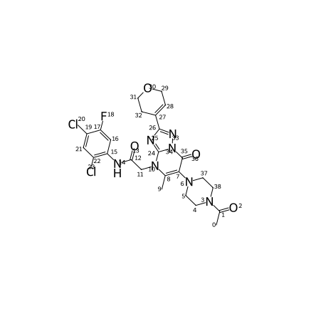 CC(=O)N1CCN(c2c(C)n(CC(=O)Nc3cc(F)c(Cl)cc3Cl)c3nc(C4=CCOCC4)nn3c2=O)CC1